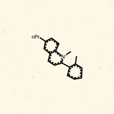 CCCc1ccc2c(ccc(-c3ccccc3C)[n+]2C)c1